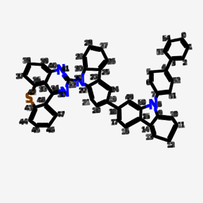 c1ccc(-c2ccc(-n3c4ccccc4c4ccc(-c5ccc6c(c5)c5ccccc5n6-c5nc6c7c(cccc7n5)Sc5ccccc5-6)cc43)cc2)cc1